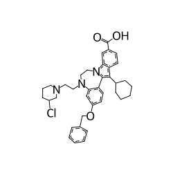 O=C(O)c1ccc2c(C3CCCCC3)c3n(c2c1)CCN(CCN1CCCC(Cl)C1)c1cc(OCc2ccccc2)ccc1-3